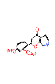 O=c1cc(-c2ccc(O)cc2O)oc2cnccc12